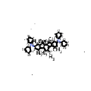 CC1=CC(N(c2ccccc2)c2ccccc2)=CC2C1c1c(C)c(C)c3c(c1C2(C)C)C(C)(C)c1cc(N(c2ccccc2)c2ccccc2)cc(C)c1-3